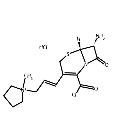 C[N+]1(C/C=C/C2=C(C(=O)Cl)N3C(=O)[C@@H](N)[C@H]3SC2)CCCC1.Cl